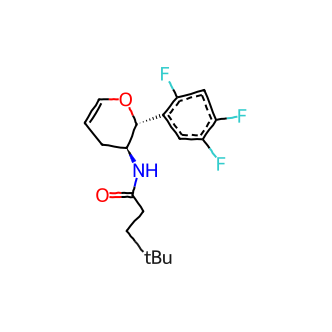 CC(C)(C)CCC(=O)N[C@H]1CC=CO[C@@H]1c1cc(F)c(F)cc1F